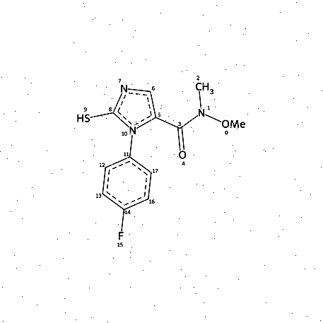 CON(C)C(=O)c1cnc(S)n1-c1ccc(F)cc1